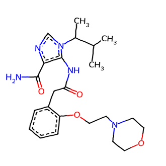 CC(C)C(C)n1cnc(C(N)=O)c1NC(=O)Cc1ccccc1OCCN1CCOCC1